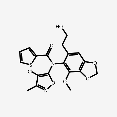 COc1c2c(cc(CCO)c1N(C(=O)c1cccs1)c1onc(C)c1Cl)OCO2